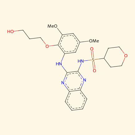 COc1cc(Nc2nc3ccccc3nc2NS(=O)(=O)C2CCOCC2)c(OCCCO)c(OC)c1